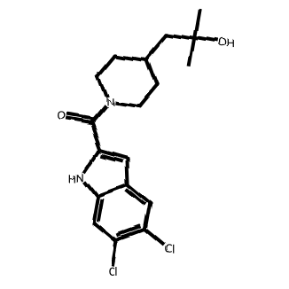 CC(C)(O)CC1CCN(C(=O)c2cc3cc(Cl)c(Cl)cc3[nH]2)CC1